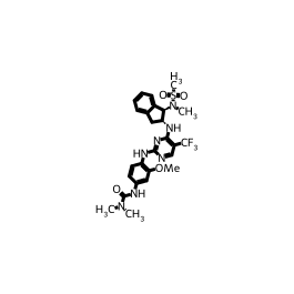 COc1cc(NC(=O)N(C)C)ccc1Nc1ncc(C(F)(F)F)c(N[C@@H]2Cc3ccccc3[C@H]2N(C)S(C)(=O)=O)n1